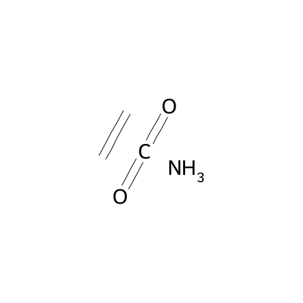 C=C.N.O=C=O